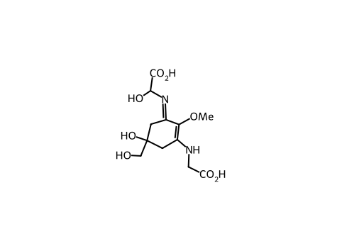 COC1=C(NCC(=O)O)CC(O)(CO)C/C1=N\C(O)C(=O)O